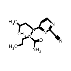 CCCN(C(N)=O)N(CC(C)C)c1ccnc(C#N)n1